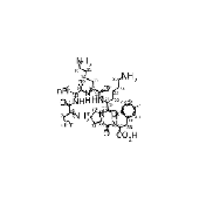 CCC[C@H](NC(=O)[C@@H](N)CC(C)C)C(=O)N[C@@H](CCCCN)C(=O)N[C@@H](CCCCN)C(=O)N1CCC[C@H]1C(=O)N[C@@H](Cc1ccccc1)C(=O)O